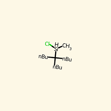 CCCCC(CCCC)(CCCC)[SiH](C)Cl